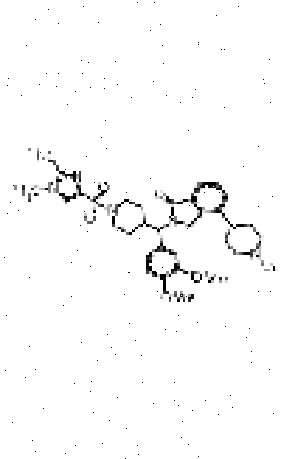 CCN1CCN(c2cccc3c2CN(C(c2ccc(OC)c(OC)c2)C2CCN(S(=O)(=O)c4cn(C)c(C)n4)CC2)C3=O)CC1